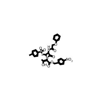 CC(O)=C(C(=O)OCc1ccc([N+](=O)[O-])cc1)N1C(=O)C(NC(=O)COc2ccccc2)C1SS(=O)(=O)c1ccc(C)cc1